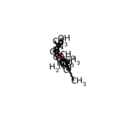 CCCCCCCC(=O)/N=C(\CC(N)=O)C(=O)N[C@H](C)CN(C)C(=O)O[C@]1(CC)C(=O)OCc2c1cc1n(c2=O)Cc2c-1nc1ccc(O)cc1c2CC